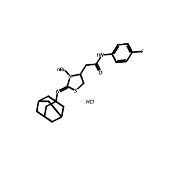 CCCCN1C(=NC23CC4CC(CC(C4)C2)C3)SCC1CC(=O)Nc1ccc(F)cc1.Cl